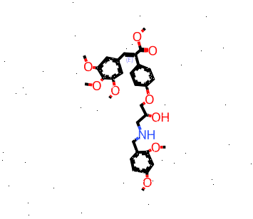 COC(=O)/C(=C/c1cc(OC)c(OC)c(OC)c1)c1ccc(OCC(O)CNCc2ccc(OC)cc2OC)cc1